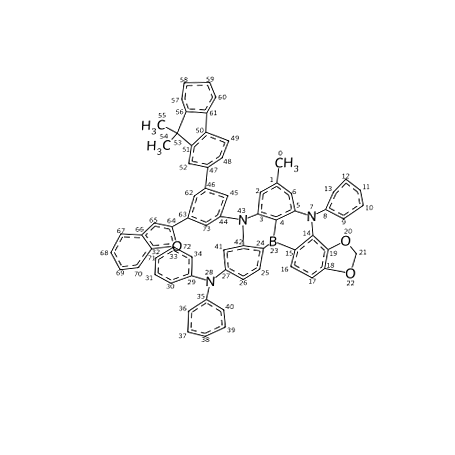 Cc1cc2c3c(c1)N(c1ccccc1)c1c(ccc4c1OCO4)B3c1ccc(N(c3ccccc3)c3ccccc3)cc1N2c1cc(-c2ccc3c(c2)C(C)(C)c2ccccc2-3)cc(-c2cc3ccccc3o2)c1